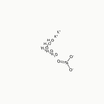 O.O.O.O.O.O=[Si]([O-])[O-].[K+].[K+]